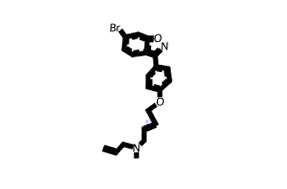 C=CCN(C)C/C=C/COc1ccc(-c2noc3cc(Br)ccc23)cc1